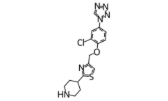 Clc1cc(-n2cnnn2)ccc1OCc1csc(C2CCNCC2)n1